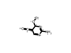 CCOC1N=C(N)N=CC1=C=O